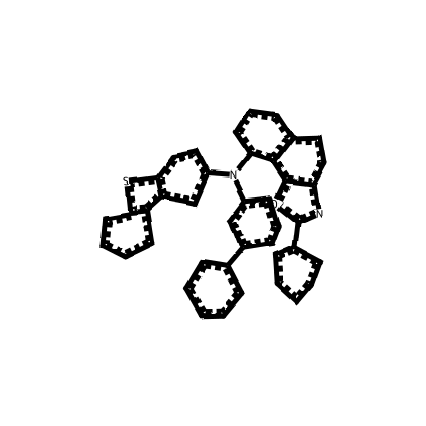 c1ccc(-c2cccc(N(c3ccc4sc5ccccc5c4c3)c3cccc4ccc5nc(-c6ccccc6)oc5c34)c2)cc1